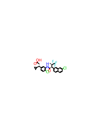 C[C@H]([C@H](C(=O)Nc1cc([C@@H](CC(=O)O)C2CC2)ccc1Cl)c1ccc2ccc(Cl)cc2c1)C(F)(F)F